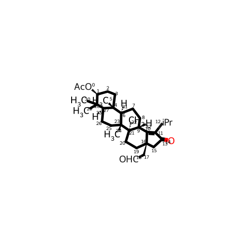 CC(=O)O[C@H]1CC[C@]2(C)[C@H]3CC[C@@H]4C5=C(C(C)C)C(=O)C[C@]5(CC=O)CC[C@@]4(C)[C@]3(C)CC[C@H]2C1(C)C